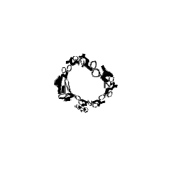 CC(C)CC1C(=O)OC(C(C)C)C(=O)N(C)C(CCS(C)(=O)=O)C(=O)OC(C(C)C)C(=O)N(C)C(CC(C)C)C(=O)OC(C(C)C)C(=O)N(C)C(CC(C)C)C(=O)OC(C(C)C)C(=O)N1C